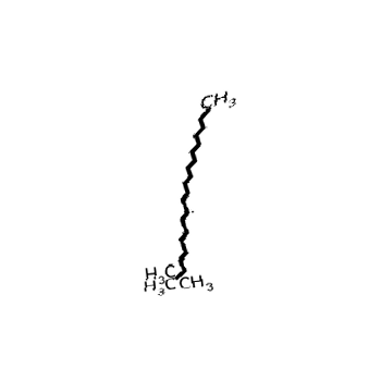 CCCCCCCCCCCCC[CH]CCCCCCC(C)(C)C